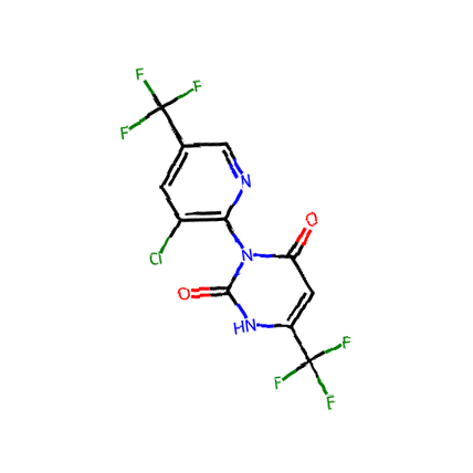 O=c1cc(C(F)(F)F)[nH]c(=O)n1-c1ncc(C(F)(F)F)cc1Cl